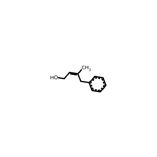 C/C(=C/CO)Cc1ccccc1